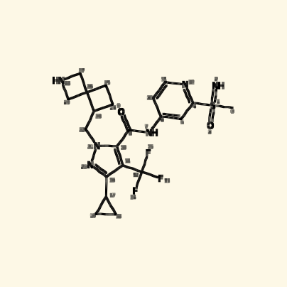 CS(=N)(=O)c1cc(NC(=O)c2c(C(F)(F)F)c(C3CC3)nn2CC2CCC23CNC3)ccn1